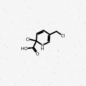 O=C(O)C1(Cl)C=CC(CCl)=CN1